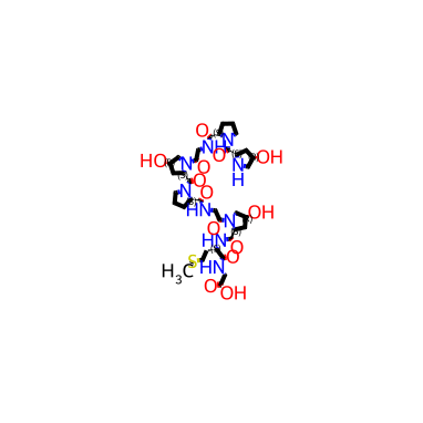 CSCC[C@H](NC(=O)[C@@H]1C[C@@H](O)CN1C(=O)CNC(=O)[C@@H]1CCCN1C(=O)[C@@H]1C[C@@H](O)CN1C(=O)CNC(=O)[C@@H]1CCCN1C(=O)[C@@H]1C[C@@H](O)CN1)C(=O)NCC(=O)O